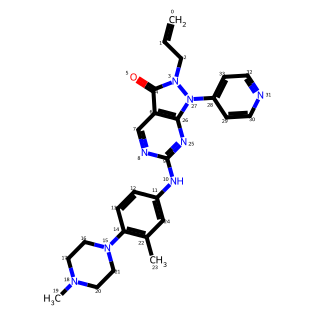 C=CCn1c(=O)c2cnc(Nc3ccc(N4CCN(C)CC4)c(C)c3)nc2n1-c1ccncc1